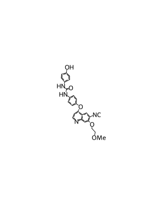 [C-]#[N+]c1cc2c(Oc3ccc(NC(=O)Nc4ccc(O)cc4)cc3)ccnc2cc1OCCOC